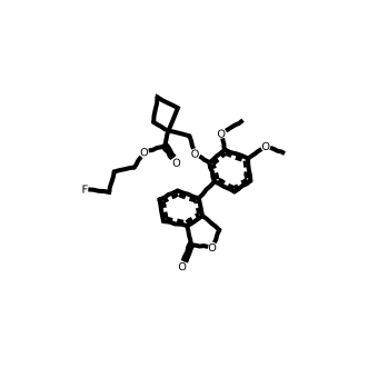 COc1ccc(-c2cccc3c2COC3=O)c(OCC2(C(=O)OCCCF)CCC2)c1OC